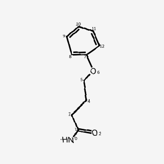 [NH]C(=O)CCCOc1ccccc1